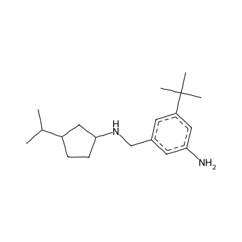 CC(C)C1CCC(NCc2cc(N)cc(C(C)(C)C)c2)C1